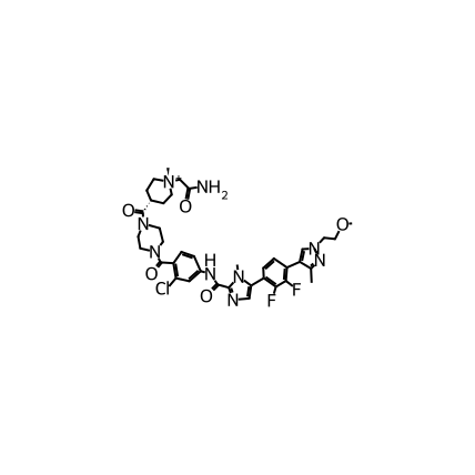 COCCn1cc(-c2ccc(-c3cnc(C(=O)Nc4ccc(C(=O)N5CCN(C(=O)[C@H]6CC[N@@+](C)(CC(N)=O)CC6)CC5)c(Cl)c4)n3C)c(F)c2F)c(C)n1